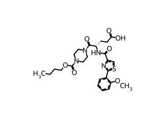 CCCCOC(=O)N1CCN(C(=O)[C@H](CCC(=O)O)NC(=O)c2csc(-c3ccccc3OC)n2)CC1